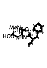 C=CC(Cc1ccccc1)C(=O)N[C@@H](CC(O)O)C(=O)NC